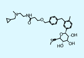 CS#CC1O[C@@H](c2ccc(C)c(Cc3ccc(COCCC(=O)NCCN(C)CC4CC4)cc3)c2)[C@H](O)[C@@H](O)[C@@H]1O